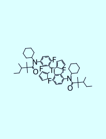 CCC(C)C(C)(C)C(=O)N(c1ccc(F)[c]([Ti]([C]2=CC=CC2)([C]2=CC=CC2)[c]2c(F)ccc(N(C(=O)C(C)(C)C(C)CC)C3CCCCC3)c2F)c1F)C1CCCCC1